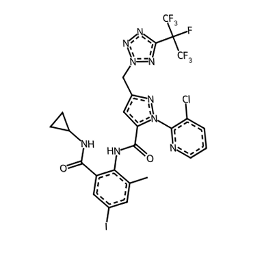 Cc1cc(I)cc(C(=O)NC2CC2)c1NC(=O)c1cc(Cn2nnc(C(F)(C(F)(F)F)C(F)(F)F)n2)nn1-c1ncccc1Cl